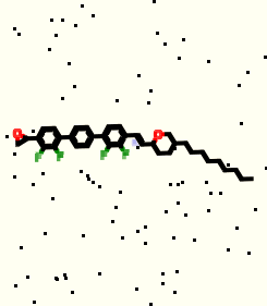 CCCCCCCCCC1CCC(/C=C/c2ccc(-c3ccc(-c4ccc(C5CO5)c(F)c4F)cc3)c(F)c2F)OC1